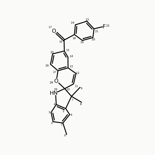 Cc1ccc2c(c1)C(C)(C)C1(C=Cc3cc(C(=O)c4ccc(F)cc4)ccc3O1)N2